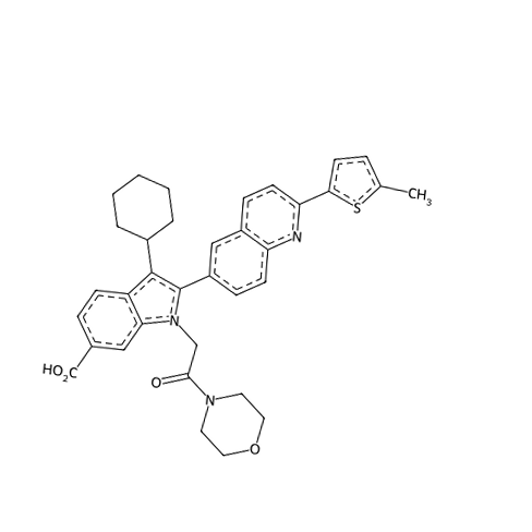 Cc1ccc(-c2ccc3cc(-c4c(C5CCCCC5)c5ccc(C(=O)O)cc5n4CC(=O)N4CCOCC4)ccc3n2)s1